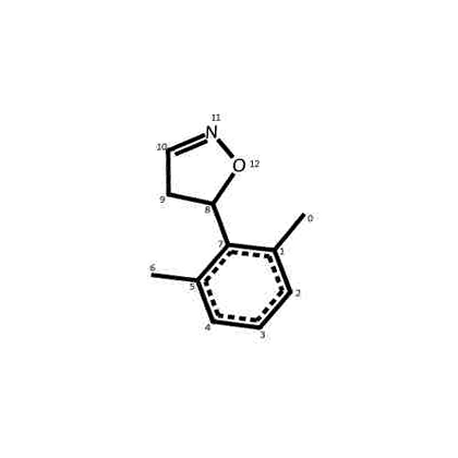 Cc1cccc(C)c1C1C[C]=NO1